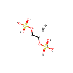 O=S(=O)([O-])OCCOS(=O)(=O)[O-].[K+].[K+]